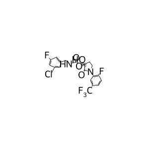 O=C(NCc1cc(F)cc(Cl)c1)O[C@]1(O)CCN(c2cc(C(F)(F)F)ccc2F)C1=O